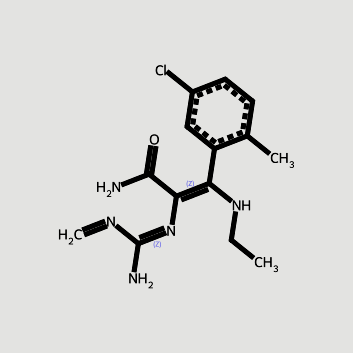 C=N/C(N)=N\C(C(N)=O)=C(/NCC)c1cc(Cl)ccc1C